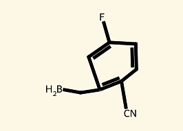 BCc1cc(F)ccc1C#N